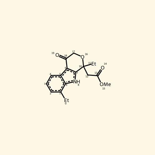 CCc1cccc2c3c([nH]c12)C(CC)(CC(=O)OC)OCC3=O